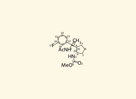 COC(=O)N[C@H]1CCC[C@@H]1C(C)(NC(C)=O)c1cccc(F)c1